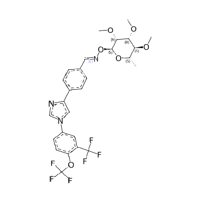 CO[C@@H]1[C@@H](OC)[C@H](C)O[C@@H](O/N=C/c2ccc(-c3cn(-c4ccc(OC(F)(F)F)c(C(F)(F)F)c4)cn3)cc2)[C@@H]1OC